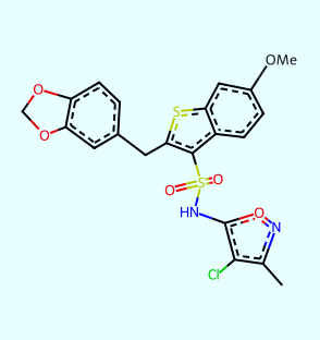 COc1ccc2c(S(=O)(=O)Nc3onc(C)c3Cl)c(Cc3ccc4c(c3)OCO4)sc2c1